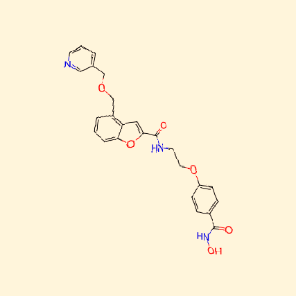 O=C(NO)c1ccc(OCCNC(=O)c2cc3c(COCc4cccnc4)cccc3o2)cc1